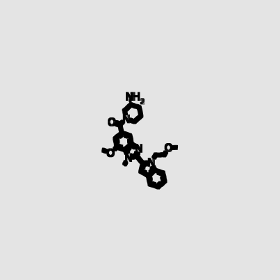 COCCn1c(-c2nc3cc(C(=O)N4CCC[C@@H](N)C4)cc(OC)c3n2C)cc2ccccc21